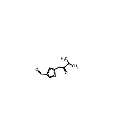 CC(C)C(=O)Cc1cc(C=O)cs1